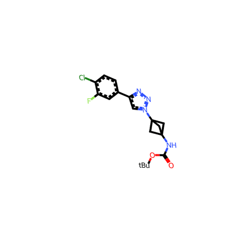 CC(C)(C)OC(=O)NC12CC(n3cc(-c4ccc(Cl)c(F)c4)nn3)(C1)C2